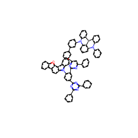 c1ccc(-c2cc(-c3cccc(-c4cccc(N5c6ccccc6B6c7ccccc7N(c7ccccc7)c7cccc5c76)c4)c3)nc(-c3cc(-c4nc(-c5ccccc5)nc(-c5ccccc5)n4)ccc3-n3c4ccccc4c4c5oc6ccccc6c5ccc43)n2)cc1